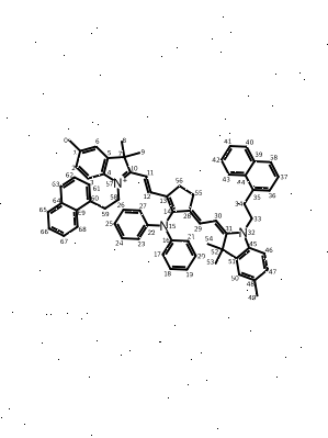 Cc1ccc2c(c1)C(C)(C)C(/C=C/C1=C(N(c3ccccc3)c3ccccc3)C(=C/C=C3/N(CCc4cccc5ccccc45)c4ccc(C)cc4C3(C)C)/CC1)=[N+]2CCc1cccc2ccccc12